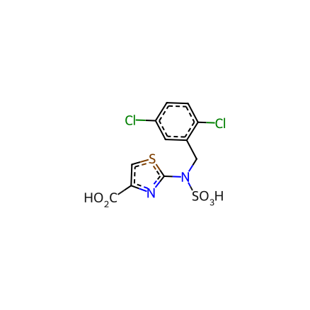 O=C(O)c1csc(N(Cc2cc(Cl)ccc2Cl)S(=O)(=O)O)n1